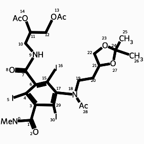 CNC(=O)c1c(I)c(C(=O)NCC(COC(C)=O)OC(C)=O)c(I)c(N(CCC2COC(C)(C)O2)C(C)=O)c1I